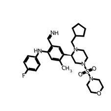 Cc1cc(Nc2ccc(F)cc2)c(C=N)cc1[C@@H]1CN(S(=O)(=O)N2CCOCC2)CCN1CC1CCCC1